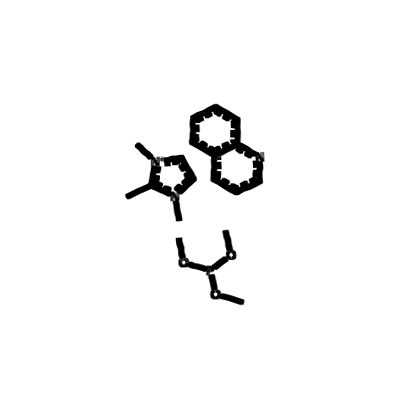 COP(OC)OC.Cc1n(C)cc[n+]1C.c1ccc2ncccc2c1